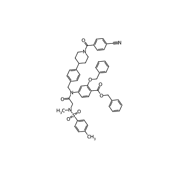 Cc1ccc(S(=O)(=O)N(C)CC(=O)N(Cc2ccc(C3CCN(C(=O)c4ccc(C#N)cc4)CC3)cc2)c2ccc(C(=O)OCc3ccccc3)c(OCc3ccccc3)c2)cc1